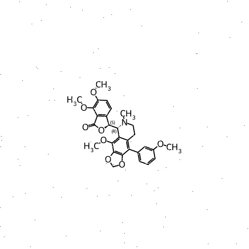 COc1cccc(-c2c3c(c(OC)c4c2OCO4)[C@H]([C@H]2OC(=O)c4c2ccc(OC)c4OC)N(C)CC3)c1